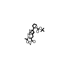 COC(=O)C(Cc1cc(C2CCCN2C(=O)OC(C)(C)C)no1)NC(C)=O